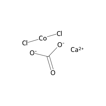 O=C([O-])[O-].[Ca+2].[Cl][Co][Cl]